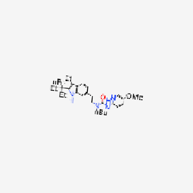 CC[C]C(CC)(CC)c1[nH]c2cc(CCN(CCCC)C(=O)Nc3ccc(OC)cn3)ccc2c1CC